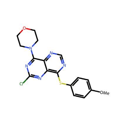 COc1ccc(Sc2ncnc3c(N4CCOCC4)nc(Cl)nc23)cc1